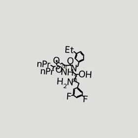 CCCC(CCC)S(=O)(=O)C[C@@H](N)C(=O)N(Cc1cccc(CC)c1)CC(O)[C@@H](N)Cc1cc(F)cc(F)c1